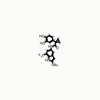 CC(C)(C)c1cc2cc(NC(=O)C3(c4ccc(O)c(O)c4)CC3)cc(C(F)(F)F)c2[nH]1